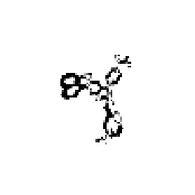 C=C(F)C(=O)N1CCN(c2nc(OCC3CN(C(C)C)CCO3)nc3c2CCN(c2cccc4cccc(Cl)c24)C3)CC1